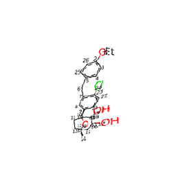 CCOc1ccc(Cc2cc([C@@]34CC[C@@](C)(C[C@H](O)[C@H]3O)O4)ccc2Cl)cc1